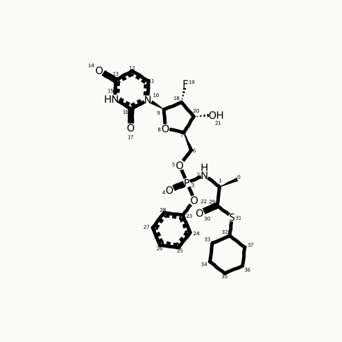 C[C@H](NP(=O)(OC[C@H]1O[C@@H](n2ccc(=O)[nH]c2=O)[C@H](F)[C@@H]1O)Oc1ccccc1)C(=O)SC1CCCCC1